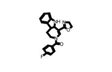 O=C(c1ccc(F)cc1)N1C=C(C2=NCCO2)C2Nc3ccccc3C2CC1